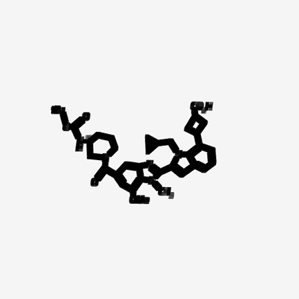 COc1cc(C(=O)N2CCC[C@@H](NC(=O)OC(C)(C)C)C2)cc2nc(-c3cc4cccc(C5CC(C(=O)O)C5)c4n3CC3CC3)n(C)c12